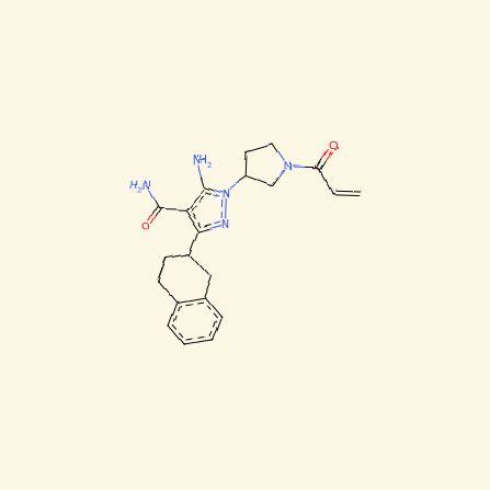 C=CC(=O)N1CCC(n2nc(C3CCc4ccccc4C3)c(C(N)=O)c2N)C1